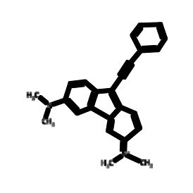 CN(C)c1ccc2c(c1)C1=CC(=[N+](C)C)C=CC1=C2C#Cc1ccccc1